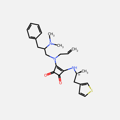 C=CCN(CC(Cc1ccccc1)N(C)C)c1c(N[C@@H](C)Cc2ccsc2)c(=O)c1=O